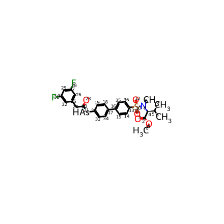 COC(=O)[C@H](C(C)C)N(C)S(=O)(=O)c1ccc(-c2ccc([AsH]C(=O)Cc3cc(F)cc(F)c3)cc2)cc1